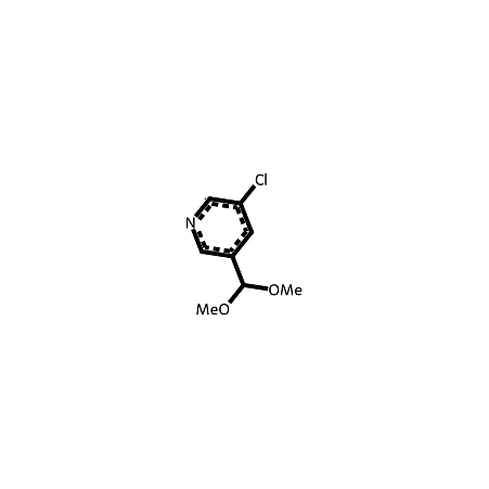 COC(OC)c1cn[c]c(Cl)c1